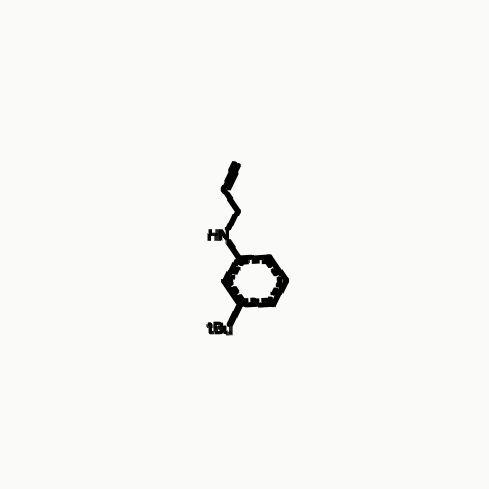 C=CCNc1cccc(C(C)(C)C)c1